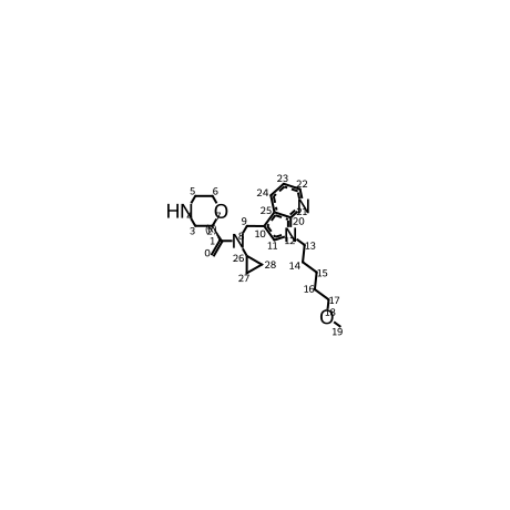 C=C([C@H]1CNCCO1)N(Cc1cn(CCCCCOC)c2ncccc12)C1CC1